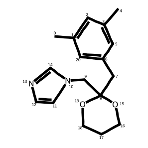 Cc1cc(C)cc(CC2(Cn3ccnc3)OCCCO2)c1